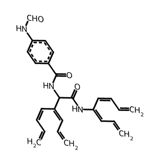 C=C/C=C\C(=C/C=C)NC(=O)C(NC(=O)c1ccc(NC=O)cc1)C(/C=C\C=C)=C/C=C